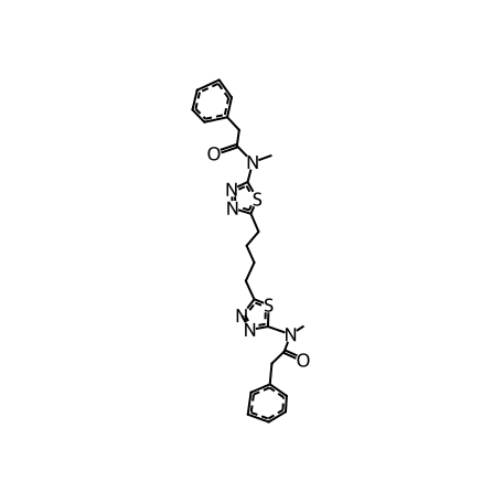 CN(C(=O)Cc1ccccc1)c1nnc(CCCCc2nnc(N(C)C(=O)Cc3ccccc3)s2)s1